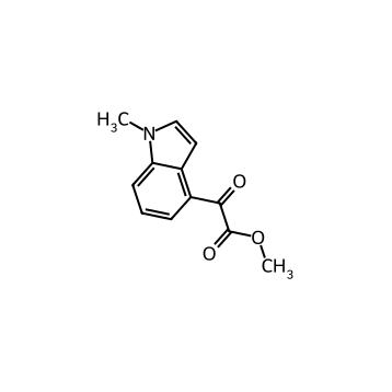 COC(=O)C(=O)c1cccc2c1ccn2C